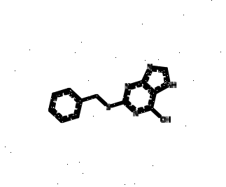 Oc1nc(SCc2ccccc2)nc2nc[nH]c12